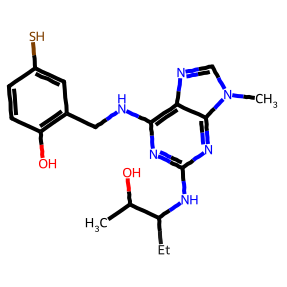 CCC(Nc1nc(NCc2cc(S)ccc2O)c2ncn(C)c2n1)C(C)O